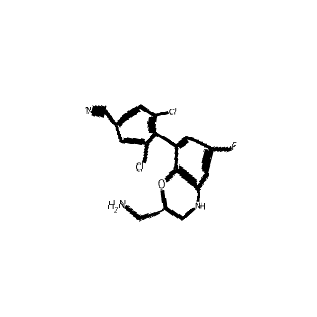 N#Cc1cc(Cl)c(-c2cc(F)cc3c2O[C@H](CN)CN3)c(Cl)c1